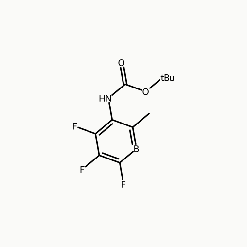 Cc1bc(F)c(F)c(F)c1NC(=O)OC(C)(C)C